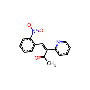 CC(=O)C(=Cc1ccccc1[N+](=O)[O-])c1ccccn1